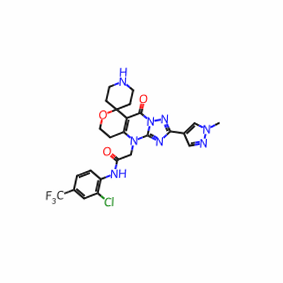 Cn1cc(-c2nc3n(CC(=O)Nc4ccc(C(F)(F)F)cc4Cl)c4c(c(=O)n3n2)C2(CCNCC2)OCC4)cn1